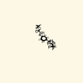 CC(C)(C)OC(=O)NC[C@H]1CC[C@H](c2noc(C(F)(F)F)n2)CC1